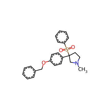 CN1CCC(c2ccc(OCc3ccccc3)cc2)(S(=O)(=O)c2ccccc2)C1